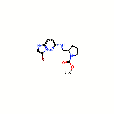 COC(=O)N1CCCC1CNc1ccc2ncc(Br)n2n1